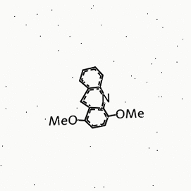 COc1ccc(OC)c2nc3ccccc3cc12